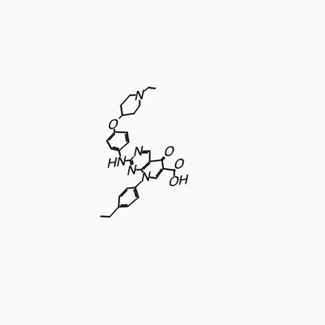 CCc1ccc(-n2cc(C(=O)O)c(=O)c3cnc(Nc4ccc(OC5CCN(CC)CC5)cc4)nc32)cc1